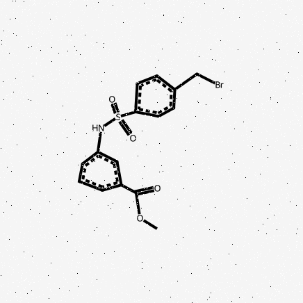 COC(=O)c1cccc(NS(=O)(=O)c2ccc(CBr)cc2)c1